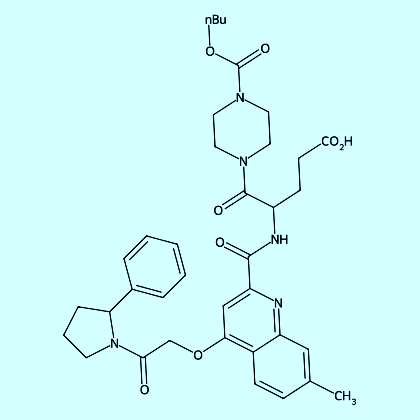 CCCCOC(=O)N1CCN(C(=O)C(CCC(=O)O)NC(=O)c2cc(OCC(=O)N3CCCC3c3ccccc3)c3ccc(C)cc3n2)CC1